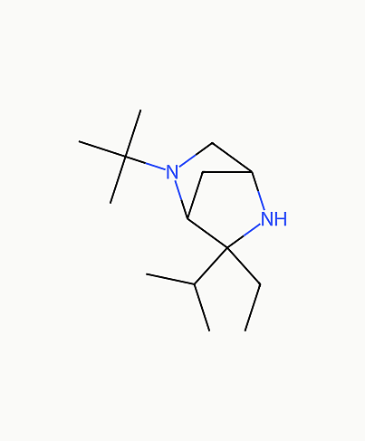 CCC1(C(C)C)NC2CC1N(C(C)(C)C)C2